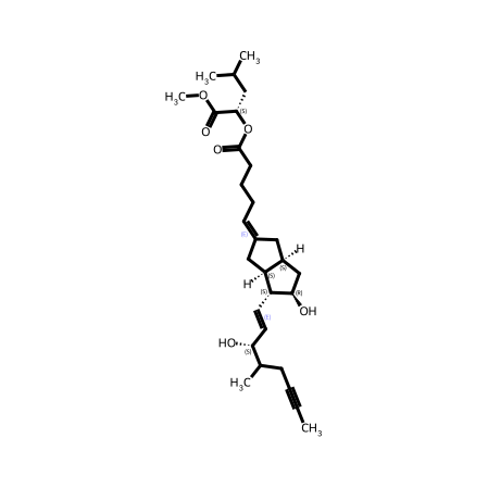 CC#CCC(C)[C@H](O)/C=C/[C@@H]1[C@H]2C/C(=C/CCCC(=O)O[C@@H](CC(C)C)C(=O)OC)C[C@H]2C[C@H]1O